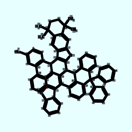 CC(C)(C)c1ccc(N2c3cc4oc5ccccc5c4c4c3B(c3oc5cc6c(cc5c32)C(C)(C)CCC6(C)C)N2c3ccccc3C(c3ccccc3)(c3ccccc3)c3cccc-4c32)c(-c2ccccc2)c1